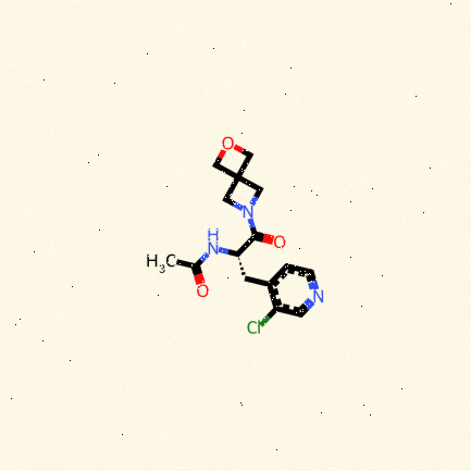 CC(=O)N[C@@H](Cc1ccncc1Cl)C(=O)N1CC2(COC2)C1